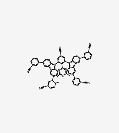 Cc1nc(C)nc(-c2c(-n3c4ccc(-c5cccc(C#N)c5)cc4c4cc(-c5cccc(C#N)c5)ccc43)cc(C#N)cc2-n2c3ccc(-c4cccc(C#N)c4)cc3c3cc(C4C=C(C#N)C=CC4C)ccc32)n1